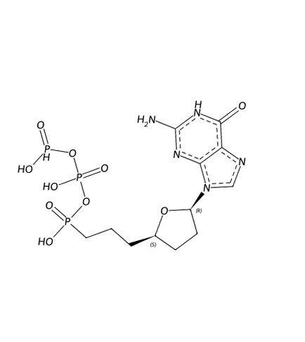 Nc1nc2c(ncn2[C@H]2CC[C@@H](CCCP(=O)(O)OP(=O)(O)O[PH](=O)O)O2)c(=O)[nH]1